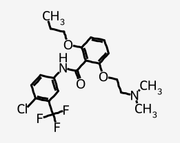 CCCOc1cccc(OCCN(C)C)c1C(=O)Nc1ccc(Cl)c(C(F)(F)F)c1